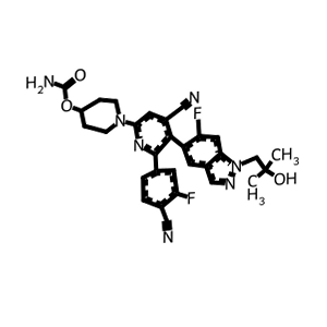 CC(C)(O)Cn1ncc2cc(-c3c(C#N)cc(N4CCC(OC(N)=O)CC4)nc3-c3ccc(C#N)c(F)c3)c(F)cc21